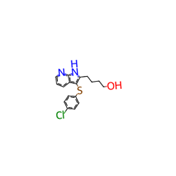 OCCCCc1[nH]c2ncccc2c1Sc1ccc(Cl)cc1